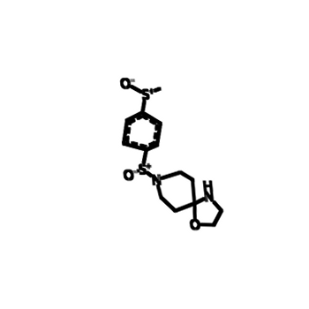 C[S+]([O-])c1ccc([S+]([O-])N2CCC3(CC2)NCCO3)cc1